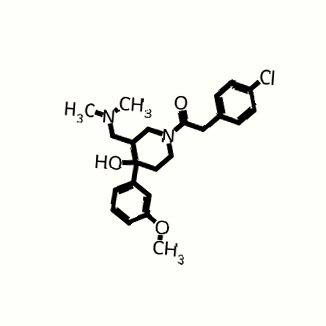 COc1cccc(C2(O)CCN(C(=O)Cc3ccc(Cl)cc3)CC2CN(C)C)c1